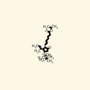 C/C=C(\C)[C@H]1[C@H](O[Si](C)(C)C(C)(C)C)CC(=O)[C@@H]1C/C=C/CCCC(=O)OC(C)C